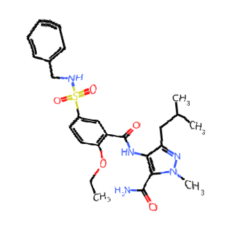 CCOc1ccc(S(=O)(=O)NCc2ccccc2)cc1C(=O)Nc1c(CC(C)C)nn(C)c1C(N)=O